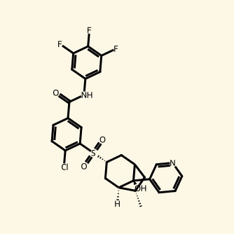 C[C@H]1CC2C[C@@H](S(=O)(=O)c3cc(C(=O)Nc4cc(F)c(F)c(F)c4)ccc3Cl)C[C@H]1[C@@]2(O)c1cccnc1